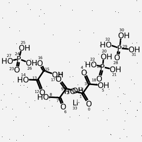 O=C(O)C(=O)O.O=C(O)C(=O)O.O=C(O)C(=O)O.O=P(O)(O)O.O=P(O)(O)O.O=P(O)(O)O.[Li]